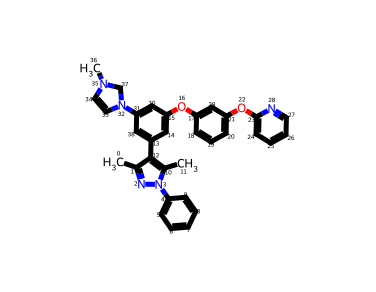 Cc1nn(-c2ccccc2)c(C)c1-c1cc(Oc2cccc(Oc3ccccn3)c2)cc(N2C=CN(C)C2)c1